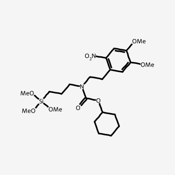 COc1cc(CCN(CCC[Si](OC)(OC)OC)C(=O)OC2CCCCC2)c([N+](=O)[O-])cc1OC